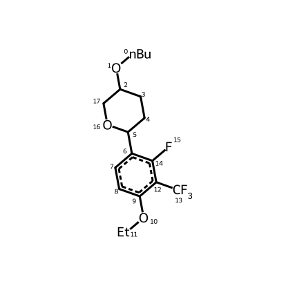 CCCCOC1CCC(c2ccc(OCC)c(C(F)(F)F)c2F)OC1